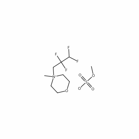 COS(=O)(=O)[O-].C[N+]1(CC(F)(F)C(F)F)CCOCC1